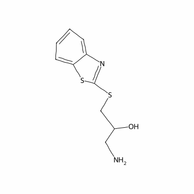 NCC(O)CSc1nc2ccccc2s1